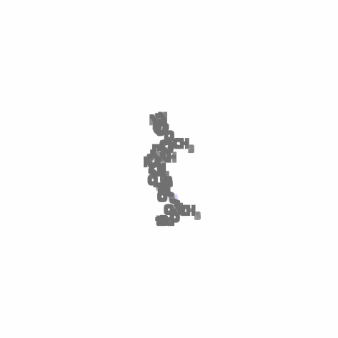 Cc1cc(Nc2ncnc3cc4c(nc23)N2CCN(C(=O)/C=C/CN(C)C(=O)OC(C)(C)C)[C@H](CO4)C2)c(F)cc1Oc1ccn2ncnc2c1